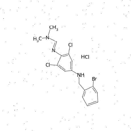 CN(C)C=Nc1c(Cl)cc(NCc2ccccc2Br)cc1Cl.Cl